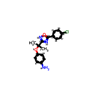 CC(C)(Oc1ccc(N)cc1)c1noc(-c2ccc(Cl)cc2)n1